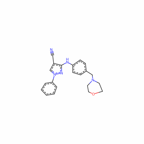 N#Cc1cn(-c2ccccc2)nc1Nc1ccc(CN2CCOCC2)cc1